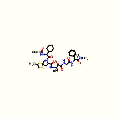 CCCC(NC(=O)C1CC2(CN1C(=O)C(NC(=O)OCC(C)C)C1CCCCC1)SCC(C)S2)C(=O)C(=O)NCC(=O)NC(C(=O)N(C)C)c1ccccc1